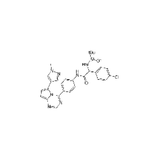 Cn1cc(-c2ccc3ncnc(-c4ccc(NC(=O)C(N[S+]([O-])C(C)(C)C)c5ccc(Cl)cc5)cc4)n23)cn1